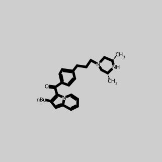 CCCCc1cc2ccccn2c1C(=O)c1ccc(CCCN2C[C@@H](C)N[C@@H](C)C2)cc1